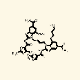 CCc1nc(C)oc1C(=O)Nc1nc2cc(C(N)=O)cc(OC)c2n1C/C=C/Cn1c(NC(=O)c2cnc(C)o2)nc2cc(C(N)=O)cc(OCCCO)c21